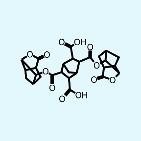 O=C1OC2C3CC(CC13)C2OC(=O)C1C2CC(C1C(=O)O)C(C(=O)OC1C3CC4C(=O)OC1C4C3)C2C(=O)O